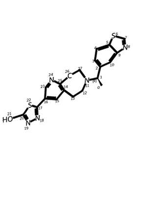 C[C@H](c1ccc2scnc2c1)N1CCc2cc(-c3nnc(O)s3)cnc2CC1